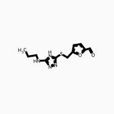 CCCNc1nnc(SCc2ccc(C=O)o2)[nH]1